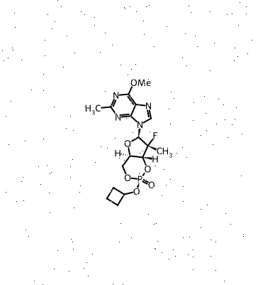 COc1nc(C)nc2c1ncn2[C@@H]1O[C@@H]2CO[P@](=O)(OC3CCC3)O[C@H]2[C@@]1(C)F